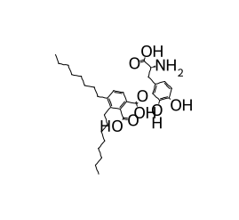 CCCCCCCCc1ccc(C(=O)O)c(C(=O)O)c1CCCCCCCC.N[C@@H](Cc1ccc(O)c(O)c1)C(=O)O